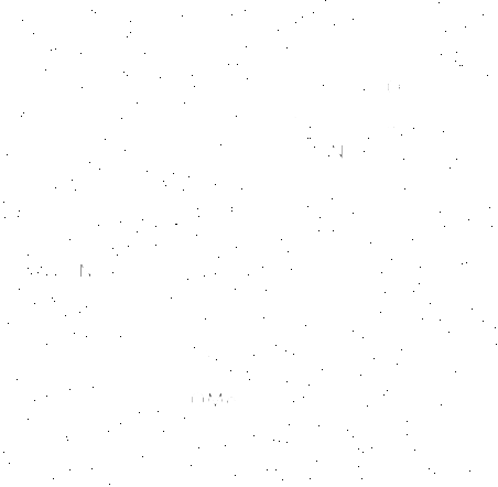 C=C(OC)c1ccnc(Cc2ccc(Cn3ccccc3=O)cc2)c1